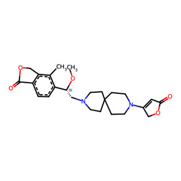 CO[C@H](CN1CCC2(CC1)CCN(C1=CC(=O)OC1)CC2)c1ccc2c(c1C)COC2=O